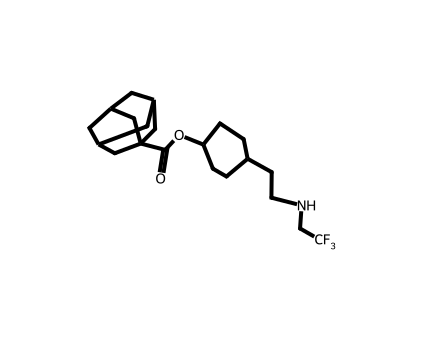 O=C(OC1CCC(CCNCC(F)(F)F)CC1)C12CC3CC(CC(C3)C1)C2